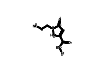 CCNC(=O)c1cc(=O)n(CCC#N)[nH]1